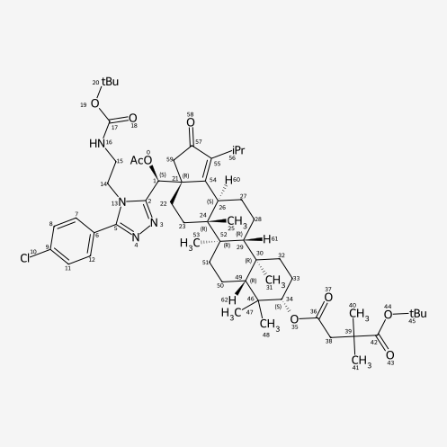 CC(=O)O[C@H](c1nnc(-c2ccc(Cl)cc2)n1CCNC(=O)OC(C)(C)C)[C@@]12CC[C@]3(C)[C@H](CC[C@@H]4[C@@]5(C)CC[C@H](OC(=O)CC(C)(C)C(=O)OC(C)(C)C)C(C)(C)[C@@H]5CC[C@]43C)C1=C(C(C)C)C(=O)C2